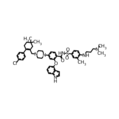 Cc1cc(S(=O)(=O)NC(=O)c2ccc(N3CCN(CC4=C(c5ccc(Cl)cc5)CCC(C)(C)C4)CC3)cc2Oc2cccc3[nH]ccc23)ccc1NCCCN(C)C